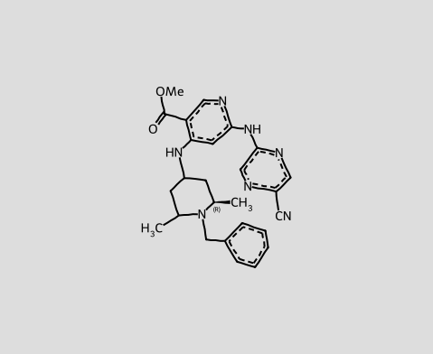 COC(=O)c1cnc(Nc2cnc(C#N)cn2)cc1NC1CC(C)N(Cc2ccccc2)[C@H](C)C1